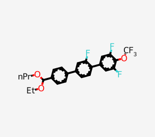 CCCOC(OCC)c1ccc(-c2ccc(-c3cc(F)c(OC(F)(F)F)c(F)c3)c(F)c2)cc1